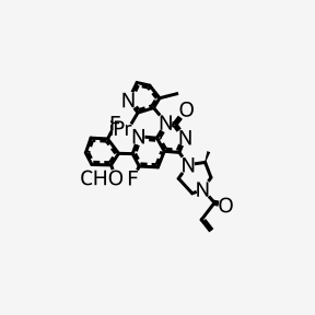 C=CC(=O)N1CCN(c2nc(=O)n(-c3c(C)ccnc3C(C)C)c3nc(-c4c(F)cccc4C=O)c(F)cc23)[C@@H](C)C1